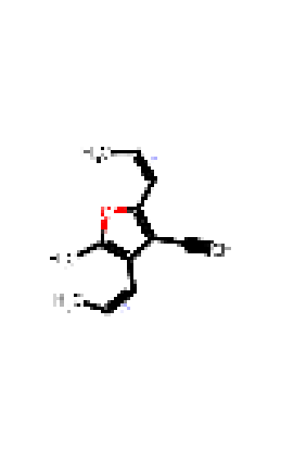 C#Cc1c(/C=C\C)oc(C)c1/C=C\C